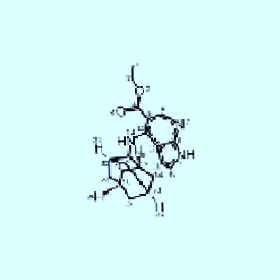 CCOC(=O)c1cnc2[nH]ccc2c1NC1[C@H]2C[C@@H]3C[C@@H](C[C@H]1C3)C2